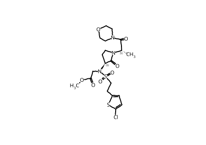 COC(=O)CN([C@H]1CCN([C@@H](C)C(=O)N2CCOCC2)C1=O)S(=O)(=O)CCc1ccc(Cl)s1